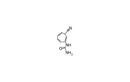 N#CC1C=CC=CC(NC(N)=O)=C1